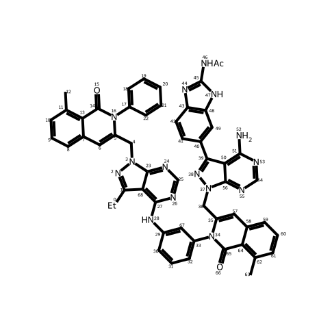 CCc1nn(Cc2cc3cccc(C)c3c(=O)n2-c2ccccc2)c2ncnc(Nc3cccc(-n4c(Cn5nc(-c6ccc7nc(NC(C)=O)[nH]c7c6)c6c(N)ncnc65)cc5cccc(C)c5c4=O)c3)c12